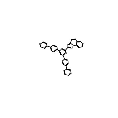 c1ccc2c(c1)ccc1cc(-c3nc(-c4ccc(-c5ccncc5)cc4)cc(-c4ccc(-c5ccncc5)cc4)n3)nn12